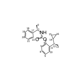 C[C@@H](NC(=O)Oc1ccccc1[C@H](C)C1CC1)c1ccccc1